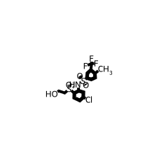 Cc1ccc(S(=O)(=O)Nc2cc(Cl)ccc2[S+]([O-])CCO)cc1C(F)(F)F